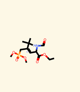 CCOC(=O)C(/C=C(/CP(=O)(OC)OC)C(C)(C)C)NC=O